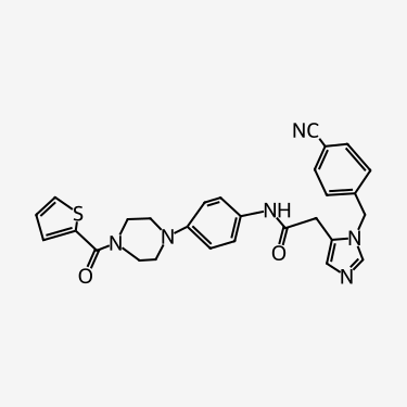 N#Cc1ccc(Cn2cncc2CC(=O)Nc2ccc(N3CCN(C(=O)c4cccs4)CC3)cc2)cc1